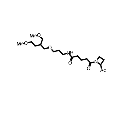 COCCC(COC)COCCCNC(=O)CCCC(=O)N1CCC1C(C)=O